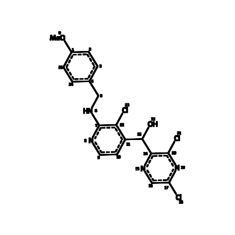 COc1ccc(CNc2nccc(C(O)c3ncc(Cl)nc3Cl)c2Cl)cc1